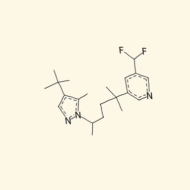 Cc1c(C(C)(C)C)cnn1C(C)CCC(C)(C)c1cncc(C(F)F)c1